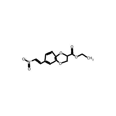 CCOC(=O)C1COc2cc(C=C[N+](=O)[O-])ccc2O1